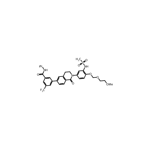 COCCOCOc1ccc(N2CCc3cc(-c4cc(C(=O)NC(C)C)cc(C(F)(F)F)c4)ccc3C2=O)cc1NS(C)(=O)=O